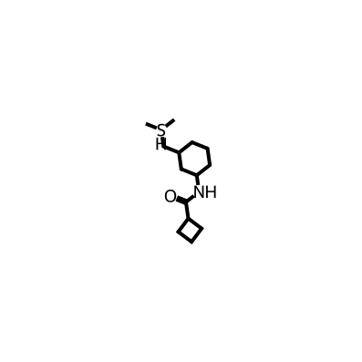 C[SH](C)CC1CCCC(NC(=O)C2CCC2)C1